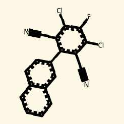 N#Cc1c(Cl)c(F)c(Cl)c(C#N)c1-c1ccc2ccccc2c1